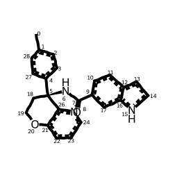 Cc1ccc([C@@]2(NC(=O)c3ccc4cc[nH]c4c3)CCOc3cccnc32)cc1